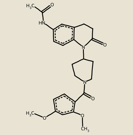 COc1ccc(C(=O)N2CCC(N3C(=O)CCc4cc(NC(C)=O)ccc43)CC2)c(OC)c1